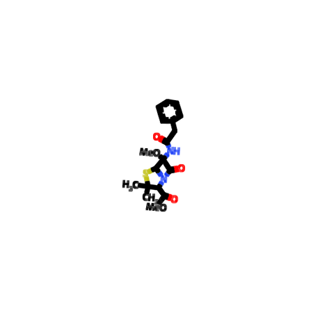 COC(=O)C1N2C(=O)C(NC(=O)Cc3ccccc3)(OC)C2SC1(C)C